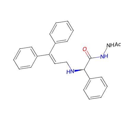 CC(=O)NNC(=O)[C@H](NCC=C(c1ccccc1)c1ccccc1)c1ccccc1